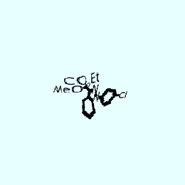 CCOC(=O)C(OC)c1nn(-c2ccc(Cl)cc2)c2c1CCCC2